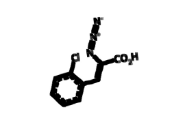 [N-]=[N+]=N/C(=C\c1ccccc1Cl)C(=O)O